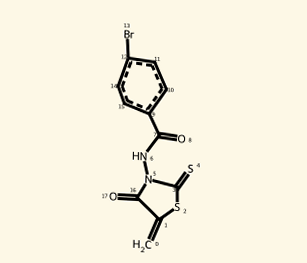 C=C1SC(=S)N(NC(=O)c2ccc(Br)cc2)C1=O